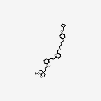 CCC(CC)(CCNc1cccc(C=Cc2cccc(COCCCCc3ccc(OCC4CCC4)cc3)n2)c1)C(=O)O